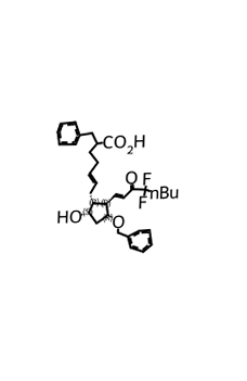 CCCCC(F)(F)C(=O)C=C[C@@H]1[C@@H](CC=CCCC(Cc2ccccc2)C(=O)O)[C@@H](O)C[C@H]1OCc1ccccc1